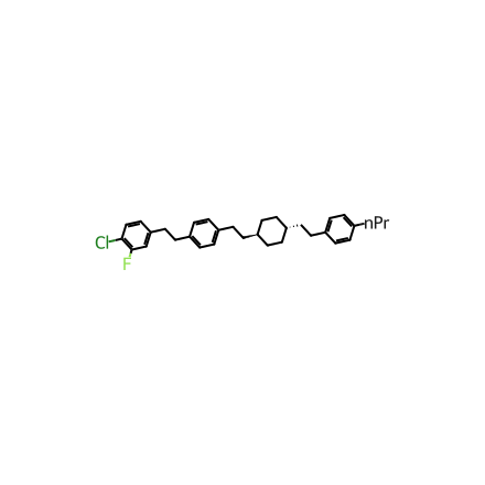 CCCc1ccc(CC[C@H]2CC[C@H](CCc3ccc(CCc4ccc(Cl)c(F)c4)cc3)CC2)cc1